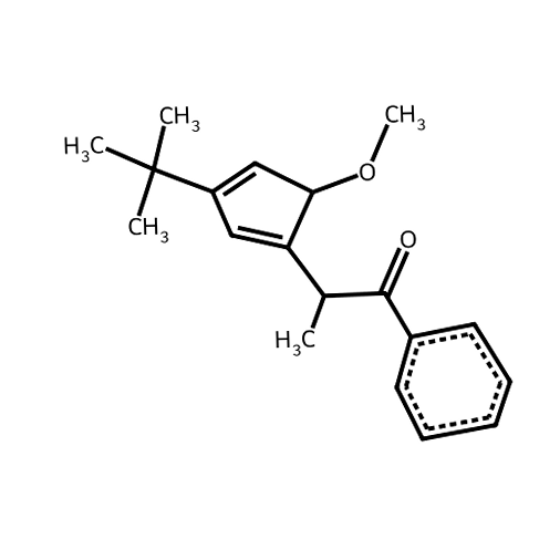 COC1C=C(C(C)(C)C)C=C1C(C)C(=O)c1ccccc1